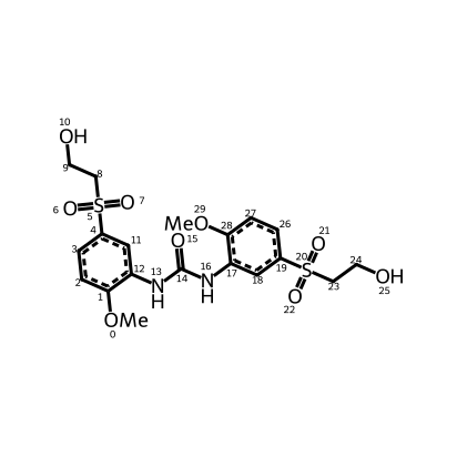 COc1ccc(S(=O)(=O)CCO)cc1NC(=O)Nc1cc(S(=O)(=O)CCO)ccc1OC